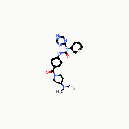 CN(C)C1CCN(C(=O)c2ccc(NC(=O)N(c3ccccc3)c3ncncn3)cc2)CC1